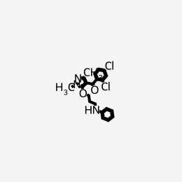 Cc1nn(C)c(OCCCNc2ccccc2)c1C(=O)c1ccc(Cl)cc1Cl